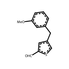 COc1cccc(Cc2csc(C=O)c2)c1